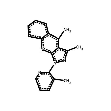 Cc1cccnc1-n1nc(C)c2c(N)c3ccccc3nc21